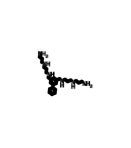 NCCCNCCCNCc1cc(CNCCCNCCCN)cc(-c2cc[c]cc2)c1